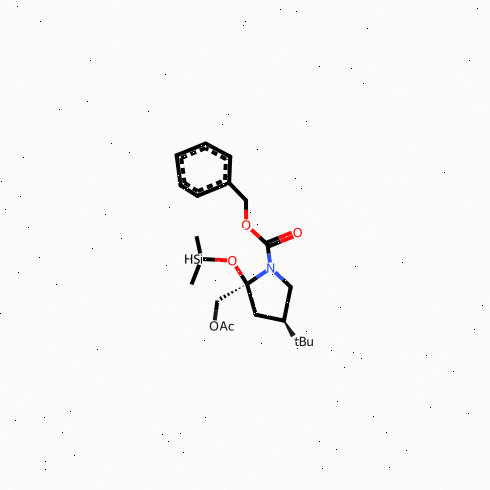 CC(=O)OC[C@@]1(O[SiH](C)C)C[C@H](C(C)(C)C)CN1C(=O)OCc1ccccc1